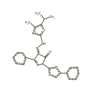 Cc1nc(N/N=C2\C(=O)N(c3nc(-c4ccccc4)cs3)N=C2c2ccccc2)sc1C(C)C